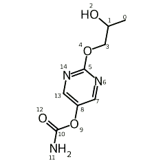 CC(O)COc1ncc(OC(N)=O)cn1